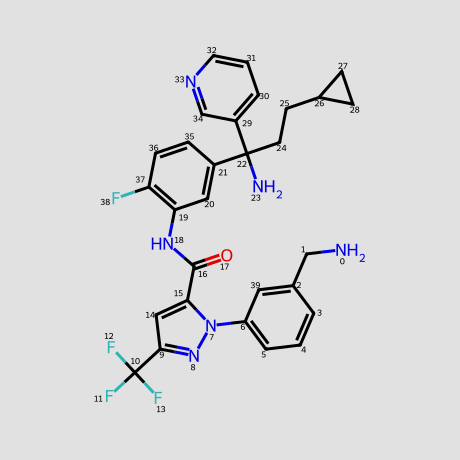 NCc1cccc(-n2nc(C(F)(F)F)cc2C(=O)Nc2cc(C(N)(CCC3CC3)c3cccnc3)ccc2F)c1